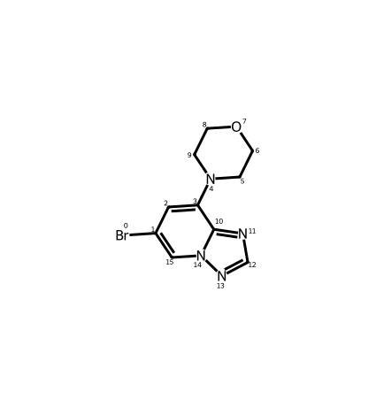 Brc1cc(N2CCOCC2)c2ncnn2c1